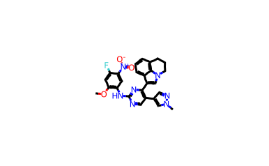 COc1cc(F)c([N+](=O)[O-])cc1Nc1ncc(-c2cnn(C)c2)c(-c2cn3c4c(cccc24)CCC3)n1